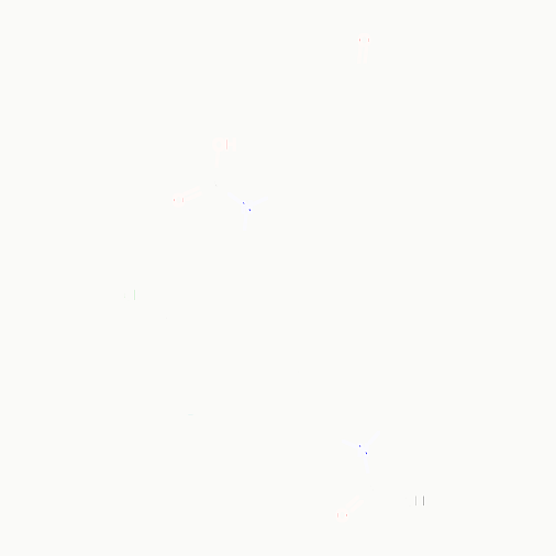 CC(=O)N1CCc2cc(-c3cc(CCN(CCCCC=O)C(=O)O)c(Cl)cc3F)ccc21